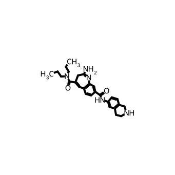 CCCN(CCC)C(=O)C1=Cc2ccc(C(=O)Nc3ccc4c(c3)CCNC4)cc2N=C(N)C1